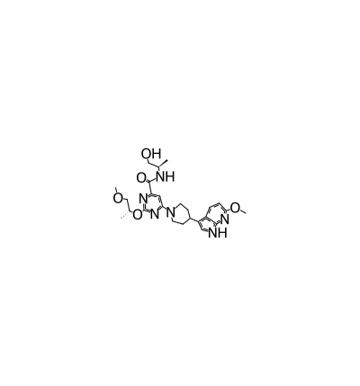 COC[C@@H](C)Oc1nc(C(=O)N[C@H](C)CO)cc(N2CCC(c3c[nH]c4nc(OC)ccc34)CC2)n1